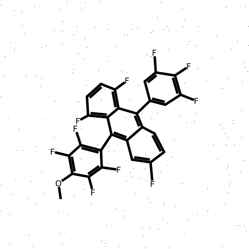 COc1c(F)c(F)c(-c2c3cc(F)ccc3c(-c3cc(F)c(F)c(F)c3)c3c(F)ccc(F)c23)c(F)c1F